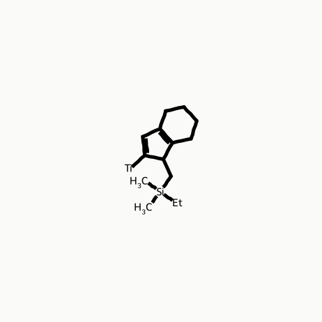 CC[Si](C)(C)CC1[C]([Ti])=CC2=C1CCCC2